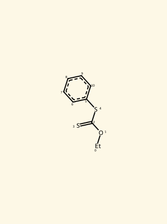 CCOC(=S)Sc1[c]cccc1